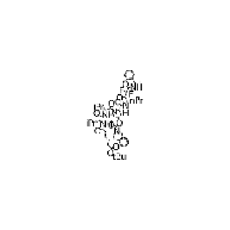 CCC[C@H](NC(=O)[C@@H]1C[C@@H](OC(=O)N2CCc3ccccc3C2)CN1C(=O)[C@@H](NC(=O)[C@@H](NC(=O)CCCCC(=O)OC(C)(C)C)C(C)C)C(C)C)C(=O)C(F)(F)C(=O)N[C@@H](C)c1ccccc1